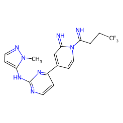 Cn1nccc1Nc1nccc(-c2ccn(C(=N)CCC(F)(F)F)c(=N)c2)n1